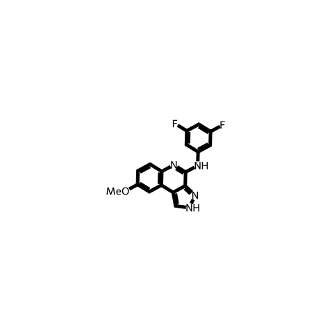 COc1ccc2nc(Nc3cc(F)cc(F)c3)c3n[nH]cc3c2c1